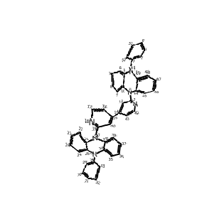 c1ccc(N2c3ccccc3N(c3cc(-c4ccnc(N5c6ccccc6N(c6ccccc6)c6ccccc65)c4)ccn3)c3ccccc32)cc1